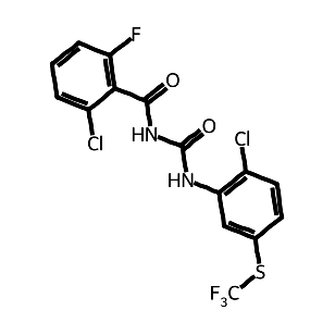 O=C(NC(=O)c1c(F)cccc1Cl)Nc1cc(SC(F)(F)F)ccc1Cl